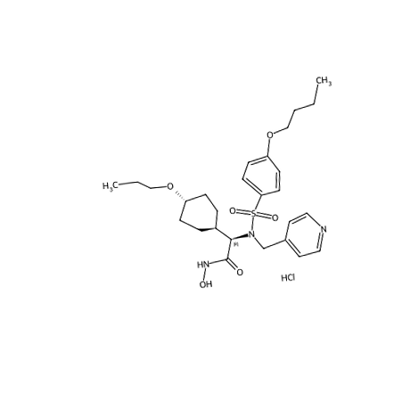 CCCCOc1ccc(S(=O)(=O)N(Cc2ccncc2)[C@@H](C(=O)NO)[C@H]2CC[C@H](OCCC)CC2)cc1.Cl